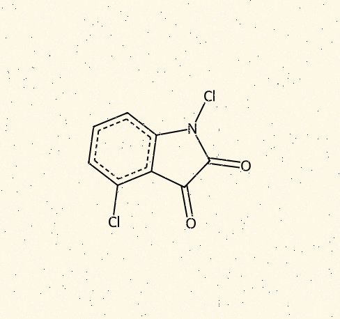 O=C1C(=O)N(Cl)c2cccc(Cl)c21